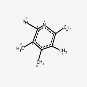 [3H]c1nc(C)c(C)c(C)c1C